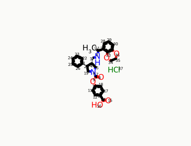 CC(NC[C@@H]1CN(C(=O)Oc2ccc(C(=O)O)cc2)C[C@@H]1c1ccccc1)c1cccc2c1OCCO2.Cl